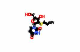 CC(C)CCSC1C(O)[C@@H](CO)O[C@H]1n1ccc(=O)[nH]c1=O